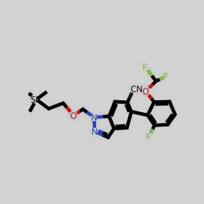 C[Si](C)(C)CCOCn1ncc2cc(-c3c(F)cccc3OC(F)F)c(C#N)cc21